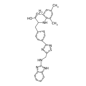 Cc1cc(C)c(NC(Cc2ccc(-c3nsc(CNc4nc5ccccc5[nH]4)n3)cc2)C(=O)O)c(C)c1